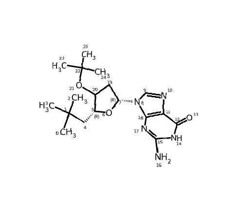 CC(C)(C)C[C@H]1O[C@@H](n2cnc3c(=O)[nH]c(N)nc32)CC1OC(C)(C)C